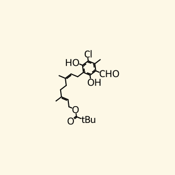 CC(=CCOC(=O)C(C)(C)C)CCC(C)=CCc1c(O)c(Cl)c(C)c(C=O)c1O